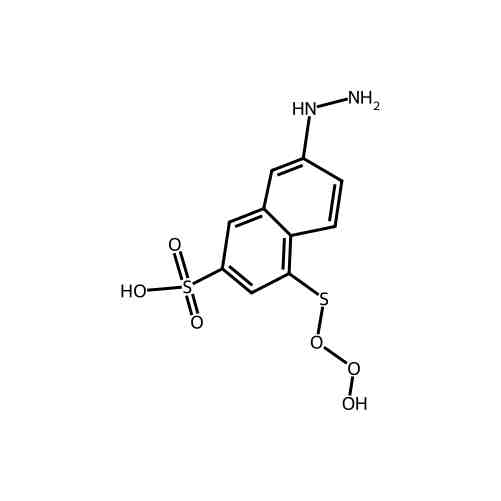 NNc1ccc2c(SOOO)cc(S(=O)(=O)O)cc2c1